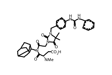 CN[C@@H](CC(=O)O)C(=O)N(C(=O)CN1C(=O)N(Cc2ccc(NC(=O)Nc3ccccc3)cc2)C(C)(C)C1=O)C1C2CC3CC(C2)CC1C3